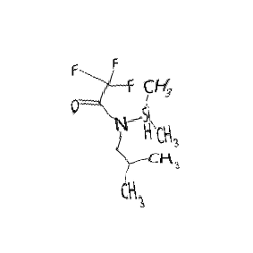 CC(C)CN(C(=O)C(F)(F)F)[SiH](C)C